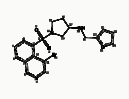 O=S(=O)(c1cccc2cncc(Br)c12)N1CC[C@@H](NCc2ccco2)C1